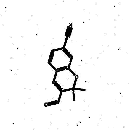 CC1(C)Oc2cc(C#N)ccc2C=C1C=O